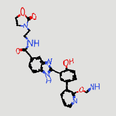 N=COc1ncccc1-c1ccc(O)c(-c2nc3cc(C(=O)NCCN4CCOC4=O)ccc3[nH]2)c1